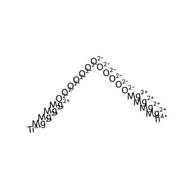 [Mg+2].[Mg+2].[Mg+2].[Mg+2].[Mg+2].[Mg+2].[Mg+2].[Mg+2].[O-2].[O-2].[O-2].[O-2].[O-2].[O-2].[O-2].[O-2].[O-2].[O-2].[O-2].[O-2].[Ti+4].[Ti+4]